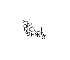 CC(=O)Nc1cc(-c2cc3c(c(S(C)(=O)=O)c2)C(=O)N([C@@H](C)C2CC2)C3)[nH]n1